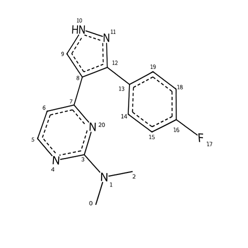 CN(C)c1nccc(-c2c[nH]nc2-c2ccc(F)cc2)n1